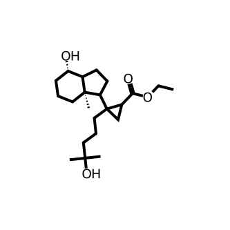 CCOC(=O)C1CC1(CCCC(C)(C)O)C1CCC2[C@@H](O)CCC[C@@]21C